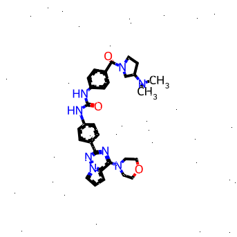 CN(C)C1CCN(C(=O)c2ccc(NC(=O)Nc3ccc(-c4nc(N5CCOCC5)c5cccn5n4)cc3)cc2)C1